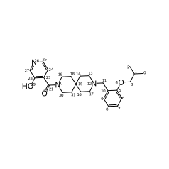 CC(C)COc1ccccc1CN1CCC2(CC1)CCN(C(=O)c1ccncc1O)CC2